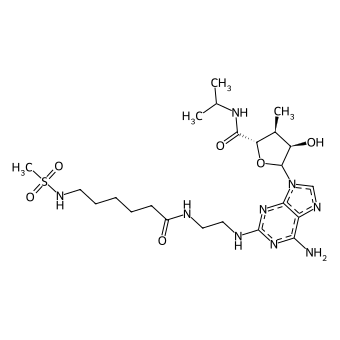 CC(C)NC(=O)[C@H]1OC(n2cnc3c(N)nc(NCCNC(=O)CCCCCNS(C)(=O)=O)nc32)[C@H](O)[C@@H]1C